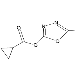 Cc1nnc(OC(=O)C2CC2)o1